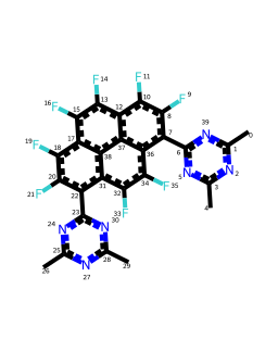 Cc1nc(C)nc(-c2c(F)c(F)c3c(F)c(F)c4c(F)c(F)c(-c5nc(C)nc(C)n5)c5c(F)c(F)c2c3c45)n1